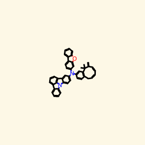 C=C1/C=C\C=C/Cc2ccc(N(c3ccc4c(c3)oc3ccccc34)c3ccc4c(c3)c3cccc5c6ccccc6n4c53)cc2C1(C)C